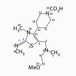 C/N=c1\sc(CN(C)CCOC)c(C2CCN(C(=O)O)CC2)n1C